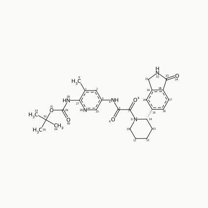 Cc1cc(NC(=O)C(=O)N2CCCC[C@H]2c2ccc3c(c2)CNC3=O)cnc1NC(=O)OC(C)(C)C